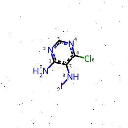 Nc1ncnc(Cl)c1NI